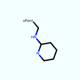 CCCCCCNC1CCCC[N]1